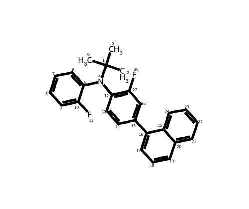 CC(C)(C)N(c1ccccc1F)c1ccc(-c2cccc3ccccc23)cc1F